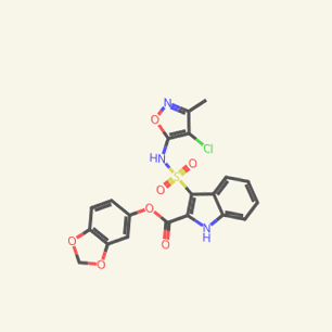 Cc1noc(NS(=O)(=O)c2c(C(=O)Oc3ccc4c(c3)OCO4)[nH]c3ccccc23)c1Cl